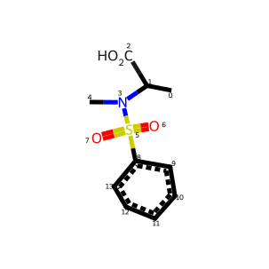 CC(C(=O)O)N(C)S(=O)(=O)c1ccccc1